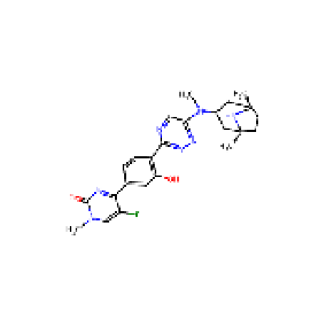 CN(c1cnc(-c2ccc(-c3nc(=O)n(C)cc3F)cc2O)nn1)[C@H]1C[C@]2(C)CC[C@](C)(C1)N2